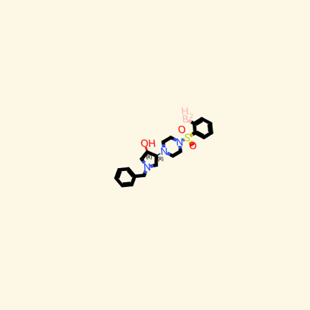 Bc1ccccc1S(=O)(=O)N1CCN([C@@H]2CN(Cc3ccccc3)C[C@H]2O)CC1